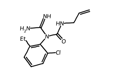 C=CCNC(=O)N(C(=N)N)c1c(Cl)cccc1CC